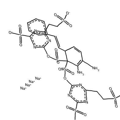 NC1=C(N)C(S(=O)(=O)Oc2nc(CCS(=O)(=O)[O-])nc(S(=O)(=O)[O-])n2)(S(=O)(=O)Oc2nc(CCS(=O)(=O)[O-])nc(S(=O)(=O)[O-])n2)C(C=Cc2ccccc2)C=C1.[Na+].[Na+].[Na+].[Na+]